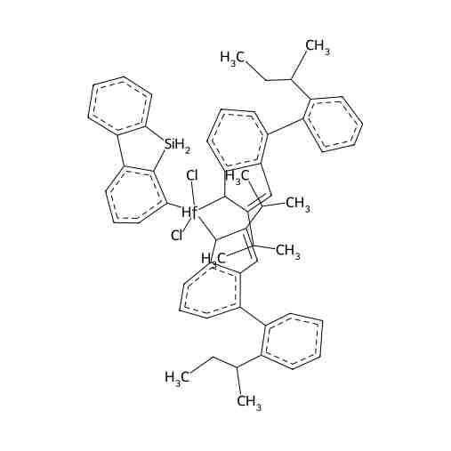 CCC(C)c1ccccc1-c1cccc2c1C=C(C(C)C)[CH]2[Hf]([Cl])([Cl])([c]1cccc2c1[SiH2]c1ccccc1-2)[CH]1C(C(C)C)=Cc2c(-c3ccccc3C(C)CC)cccc21